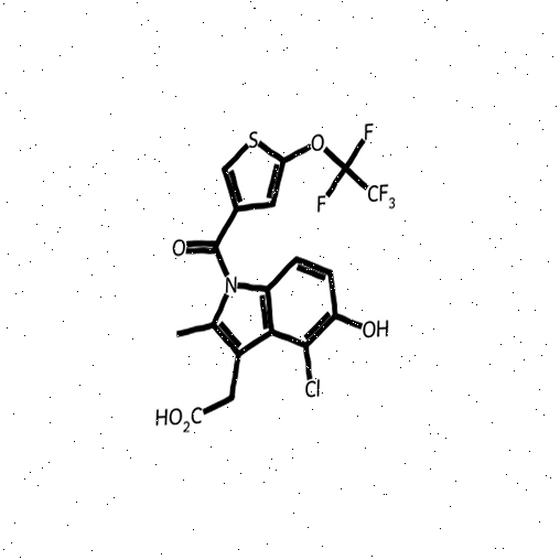 Cc1c(CC(=O)O)c2c(Cl)c(O)ccc2n1C(=O)c1csc(OC(F)(F)C(F)(F)F)c1